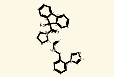 O=C(NCc1ccccc1-n1cnnc1)[C@@H]1CCCN1C(=O)C1(O)c2ccccc2-c2ccccc21